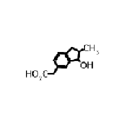 CC1Cc2ccc(CC(=O)O)cc2C1O